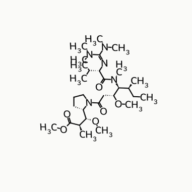 CC[C@H](C)[C@@H]([C@@H](CC(=O)N1CCC[C@H]1[C@H](OC)[C@@H](C)C(=O)OC)OC)N(C)C(=O)[C@@H](N=C(N(C)C)N(C)C)C(C)C